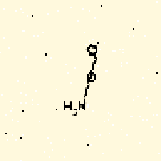 NCCCCCCOCCCCc1ccccc1